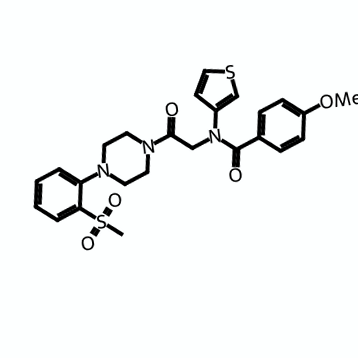 COc1ccc(C(=O)N(CC(=O)N2CCN(c3ccccc3S(C)(=O)=O)CC2)c2ccsc2)cc1